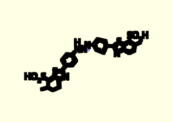 Cc1ccc2nc(-c3ccc(/N=N/Nc4ccc(-c5nc6c(s5)=C(S(=O)(=O)O)C(C)CC=6)cc4)cc3)sc2c1S(=O)(=O)O